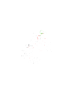 CCC1O[C@@H](OC2[C@H](OC3[C@H](O)C(CO[C@H]4OC(CC)[C@@H](C)C[C@H]4OC(=O)OCC(Cl)(Cl)Cl)O[C@@H](O[C@@H]4C(COCc5ccccc5)O[C@@H](OCc5ccccc5)[C@@H](C)C4C)[C@@H]3OCc3ccccc3)OC(CC)[C@H](C)[C@H]2C)[C@@H](C)C(C)[C@@H]1C